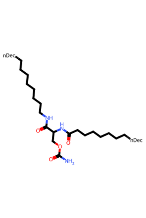 CCCCCCCCCCCCCCCCCCNC(=O)C(COC(N)=O)NC(=O)CCCCCCCCCCCCCCCCC